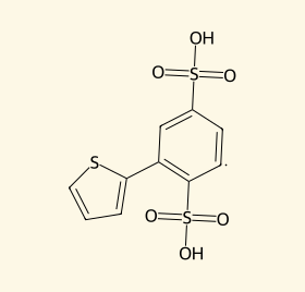 O=S(=O)(O)c1c[c]c(S(=O)(=O)O)c(-c2cccs2)c1